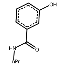 CCCNC(=O)c1cccc(O)c1